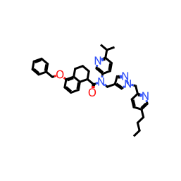 CCCCc1ccc(Cn2cc(CN(C(=O)C3CCCc4c(OCc5ccccc5)cccc43)c3ccc(C(C)C)nc3)cn2)nc1